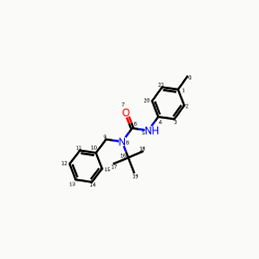 Cc1ccc(NC(=O)N(Cc2ccccc2)C(C)(C)C)cc1